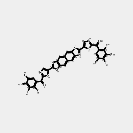 O=C(c1ncc(-c2nc3cc4cc5sc(-c6cnc(C(=O)c7cc(F)c(F)c(F)c7F)s6)nc5cc4cc3s2)s1)c1cc(F)c(F)c(F)c1F